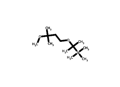 COC(C)(C)CCOC(C)(C)[Si](C)(C)C